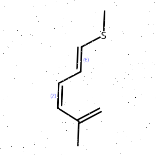 C=C(C)/C=C\C=C\SC